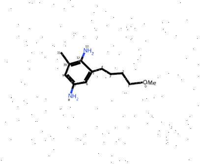 COCCCCc1cc(N)cc(C)c1N